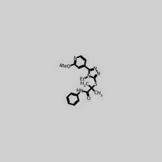 CCn1c(SC(C)(C)C(=O)Nc2ccccc2)nnc1-c1ccnc(OC)c1